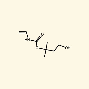 C=CNC(=O)OC(C)(C)CCO